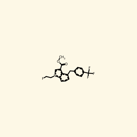 COC(=O)c1cn(CCF)c2cccc(Cc3ccc(C(F)(F)F)cc3)c12